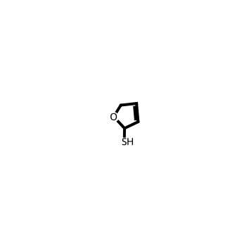 SC1C=CCO1